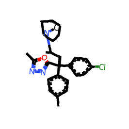 Cc1ccc(C(CC(C)N2CC3CCC2CC3)(c2ccc(Cl)cc2)c2nnc(C)o2)cc1